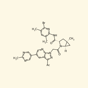 CC(=O)c1nn(CC(=O)N2[C@H](C(=O)Nc3nc(Br)c(C)cc3C)C[C@@]3(C)C[C@@H]23)c2ncc(-c3cnc(C)nc3)cc12